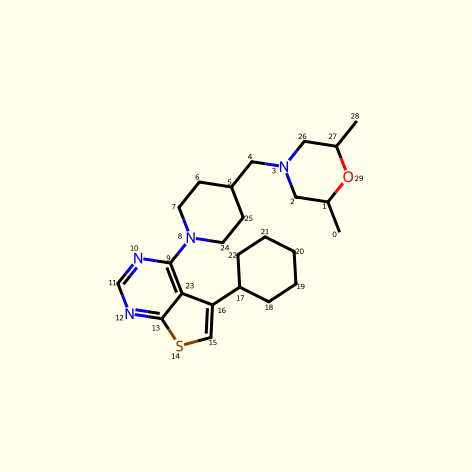 CC1CN(CC2CCN(c3ncnc4scc(C5CCCCC5)c34)CC2)CC(C)O1